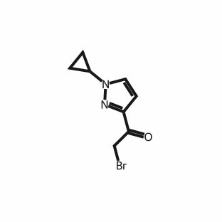 O=C(CBr)c1ccn(C2CC2)n1